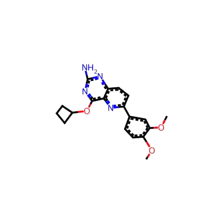 COc1ccc(-c2ccc3nc(N)nc(OC4CCC4)c3n2)cc1OC